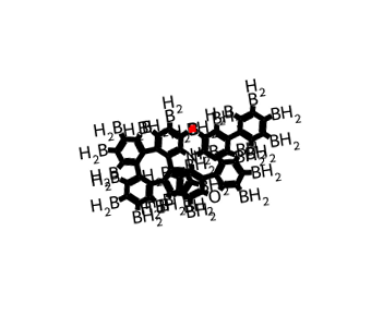 Bc1cc(N(c2c(B)c(B)c(B)c3c2-c2c(B)c(B)c(B)c(B)c2-c2c(B)c(B)c(B)c(B)c2-c2c(B)c(B)c(B)c(B)c2-3)c2c(B)c(B)c(B)c3oc4c(B)c(B)c(B)c(B)c4c23)c(B)c(B)c1-c1c(B)c(B)c(B)c(B)c1B